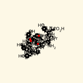 CC(C)C[C@H](NC(=O)[C@H](Cc1ccc(O)cc1)NC(=O)[C@@H](N)CC(=O)O)C(=O)N[C@@H](CC(N)=O)C(=O)N[C@@H](CCCCN)C(=O)N[C@H](C(=O)N[C@@H](CC(C)C)C(=O)N1CCC[C@H]1C(=O)N[C@@H](Cc1ccc(O)cc1)C(=O)N[C@@H](Cc1ccc(O)cc1)C(=O)N[C@@H](CO)C(=O)N[C@@H](CO)C(=O)N[C@@H](Cc1ccc(O)cc1)C(=O)N[C@@H](Cc1ccc(O)cc1)C(=O)N[C@H](C(N)=O)C(C)C)C(C)C